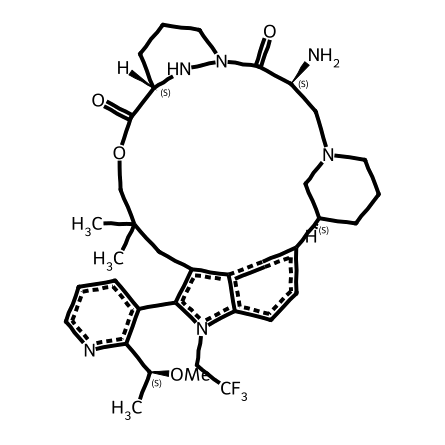 CO[C@@H](C)c1ncccc1-c1c2c3cc(ccc3n1CC(F)(F)F)[C@@H]1CCCN(C1)C[C@H](N)C(=O)N1CCC[C@H](N1)C(=O)OCC(C)(C)C2